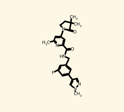 Cc1cc(N2CCC(C)(C)C2=O)cc(C(=O)NCc2cc(F)cc(-c3cnn(C)c3)c2)n1